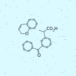 C1=Cc2ccccc2OC1.CC(C(=O)O)c1cccc(C(=O)c2ccccc2)c1